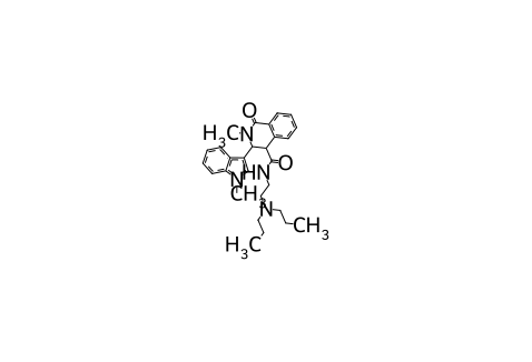 CCCN(CCC)CCNC(=O)C1c2ccccc2C(=O)N(C)C1c1cn(C)c2ccccc12